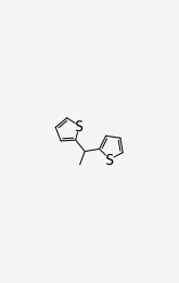 CC(c1cccs1)c1cccs1